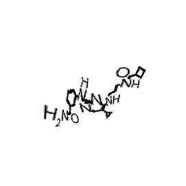 NC(=O)c1cccc(Nc2ncc(C3CC3)c(NCCCNC(=O)C3CCC3)n2)c1